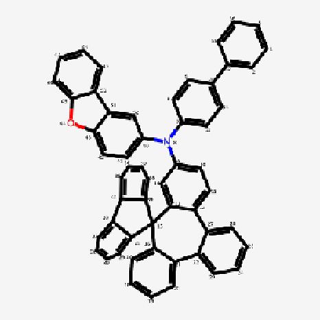 c1ccc(-c2ccc(N(c3ccc4c(c3)C3(c5ccccc5-c5ccccc5-4)c4ccccc4-c4ccccc43)c3ccc4oc5ccccc5c4c3)cc2)cc1